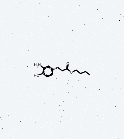 CCCCOC(=O)CCc1ccc(O)c(N)c1